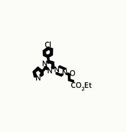 CCOC(=O)CCC(=O)N1CCN(c2cc(-c3ccc(Cl)cc3)nc(-c3cccnc3)n2)CC1